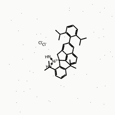 CC(C)c1cccc(C(C)C)c1-c1cc2c3c(cccc3c1)[C](c1c(C(C)C)cccc1C(C)C)([Ni+2](=[NH])=[NH])C2.[Cl-].[Cl-]